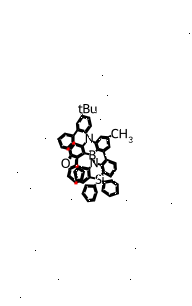 Cc1cc2c3c(c1)N(c1ccc(C(C)(C)C)cc1-c1ccccc1)c1ccc4oc5ccccc5c4c1B3N1c3ccccc3[Si](c3ccccc3)(c3ccccc3)c3cccc-2c31